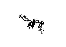 CC(C)N(C)c1nc2cc(C(=O)OCC(C)(C)C)ccc2nc1-c1ccc(F)cc1